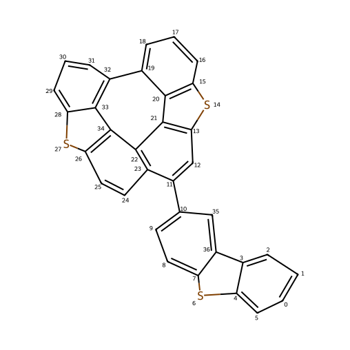 c1ccc2c(c1)sc1ccc(-c3cc4sc5cccc6c5c4c4c3ccc3sc5cccc-6c5c34)cc12